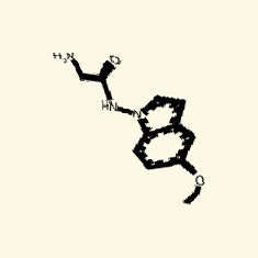 COc1ccc2c(ccn2NC(=O)CN)c1